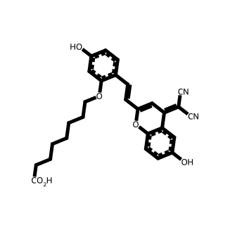 N#CC(C#N)=C1C=C(C=Cc2ccc(O)cc2OCCCCCCCC(=O)O)Oc2ccc(O)cc21